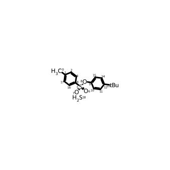 Cc1ccc(S(=O)(=O)Oc2ccc(C(C)(C)C)cc2)cc1.S